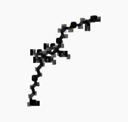 CC(C)(C)CCCCOCCCNC(C)(C)CCC(C)(C)COC/C=C\COCCNC(C)(C)C